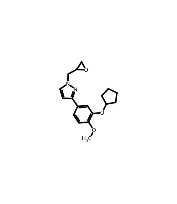 COc1ccc(-c2ccn(CC3CO3)n2)cc1OC1CCCC1